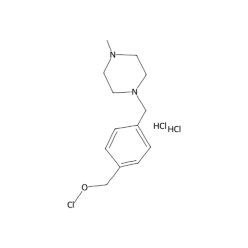 CN1CCN(Cc2ccc(COCl)cc2)CC1.Cl.Cl